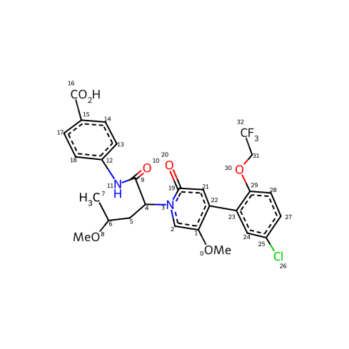 COc1cn(C(CC(C)OC)C(=O)Nc2ccc(C(=O)O)cc2)c(=O)cc1-c1cc(Cl)ccc1OCC(F)(F)F